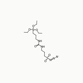 CCO[Si](CCCNC(=O)NCCCS(=O)(=O)N=[N+]=[N-])(OCC)OCC